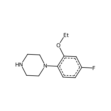 CCOc1cc(F)ccc1N1CCNCC1